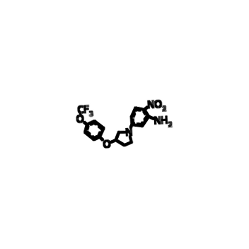 Nc1cc(N2CCC(Oc3ccc(OC(F)(F)F)cc3)C2)ccc1[N+](=O)[O-]